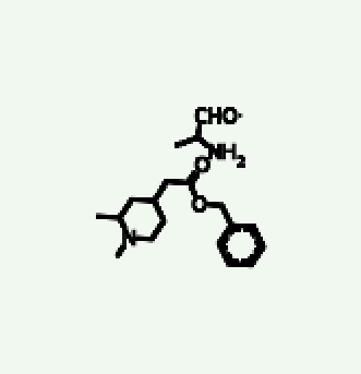 CC(N)[C]=O.CC1CC(CC(=O)OCc2ccccc2)CCN1C